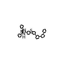 c1ccc(C2=NC(c3ccccc3)NC(c3ccc4c(c3)sc3ccc(-c5cccc(-c6cccc(-c7ccccc7)c6)c5)cc34)=N2)cc1